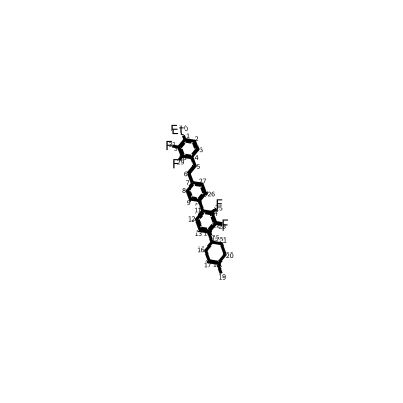 CCc1ccc(/C=C/c2ccc(-c3ccc(C4CCC(C)CC4)c(F)c3F)cc2)c(F)c1F